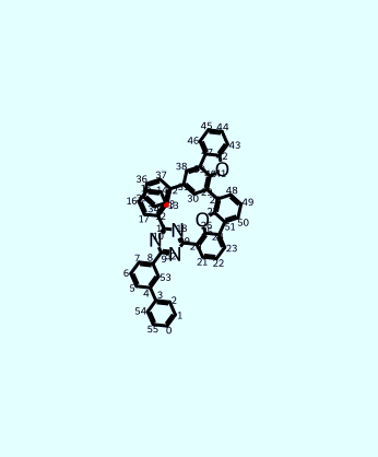 c1ccc(-c2cccc(-c3nc(-c4ccccc4)nc(-c4cccc5c4oc4c(-c6cc(-c7ccccc7)cc7c6oc6ccccc67)cccc45)n3)c2)cc1